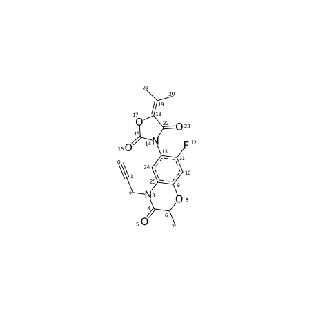 C#CCN1C(=O)C(C)Oc2cc(F)c(N3C(=O)OC(=C(C)C)C3=O)cc21